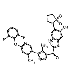 Cc1cc2cc(C(=O)c3cnn(-c4cnc(Oc5c(F)cccc5F)cc4C)c3N)[nH]c2cc1N1CCCS1(=O)=O